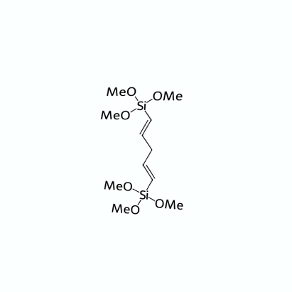 CO[Si](C=CCC=C[Si](OC)(OC)OC)(OC)OC